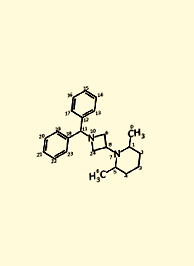 CC1CCCC(C)N1C1CN(C(c2ccccc2)c2ccccc2)C1